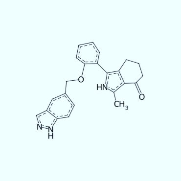 Cc1[nH]c(-c2ccccc2OCc2ccc3[nH]ncc3c2)c2c1C(=O)CCC2